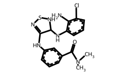 CN(C)C(=O)c1cccc(NC2=NSNC2Nc2cccc(Cl)c2N)c1